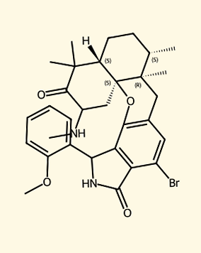 CNC1C[C@@]23Oc4c(cc(Br)c5c4C(c4ccccc4OC)NC5=O)C[C@]2(C)[C@@H](C)CC[C@H]3C(C)(C)C1=O